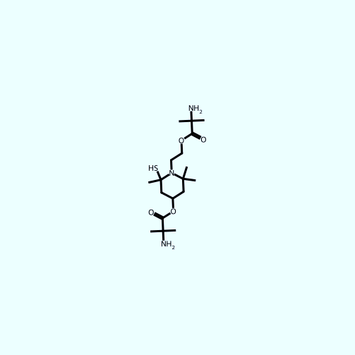 CC(C)(N)C(=O)OCCN1C(C)(C)CC(OC(=O)C(C)(C)N)CC1(C)S